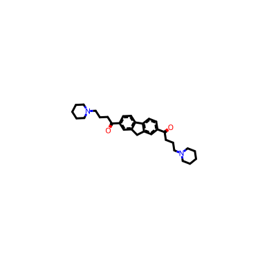 O=C(CCCN1CCCCC1)c1ccc2c(c1)Cc1cc(C(=O)CCCN3CCCCC3)ccc1-2